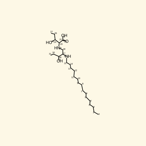 CCCCCCCCCCCCCCCCNC(CNC(C(=O)O)C(O)CC)C(O)CC